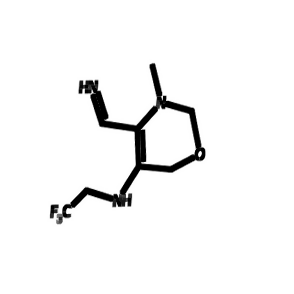 CN1COCC(NCC(F)(F)F)=C1C=N